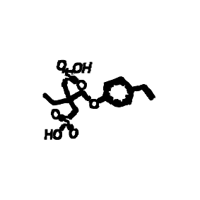 C=Cc1ccc(OCC(CC)(CS(=O)(=O)O)CS(=O)(=O)O)cc1